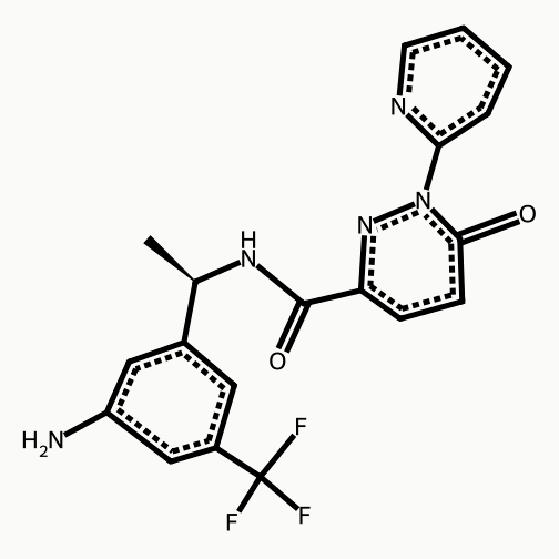 C[C@@H](NC(=O)c1ccc(=O)n(-c2ccccn2)n1)c1cc(N)cc(C(F)(F)F)c1